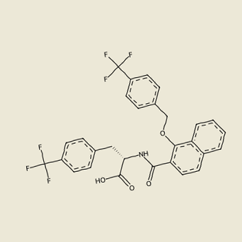 O=C(N[C@@H](Cc1ccc(C(F)(F)F)cc1)C(=O)O)c1ccc2ccccc2c1OCc1ccc(C(F)(F)F)cc1